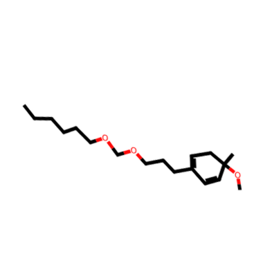 CCCCCCOCOCCCC1=CCC(C)(OC)C=C1